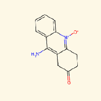 Nc1c2c([n+]([O-])c3ccccc13)CCC(=O)C2